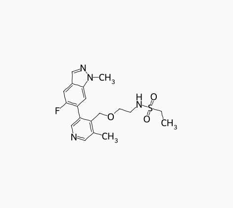 CCS(=O)(=O)NCCOCc1c(C)cncc1-c1cc2c(cnn2C)cc1F